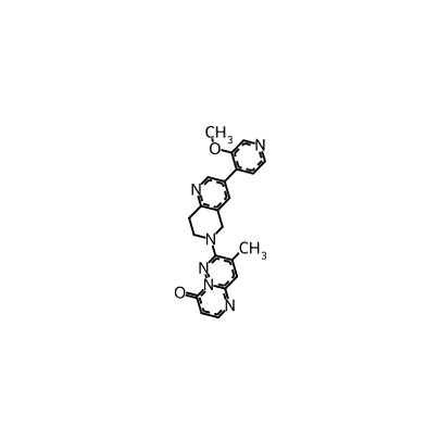 COc1cnccc1-c1cnc2c(c1)CN(c1nn3c(=O)ccnc3cc1C)CC2